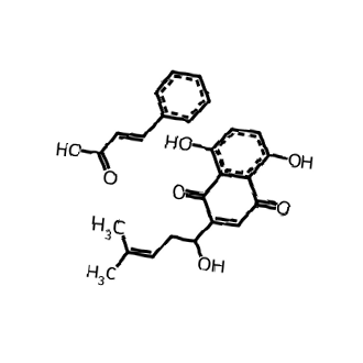 CC(C)=CCC(O)C1=CC(=O)c2c(O)ccc(O)c2C1=O.O=C(O)C=Cc1ccccc1